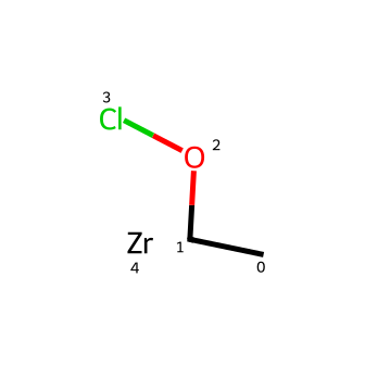 CCOCl.[Zr]